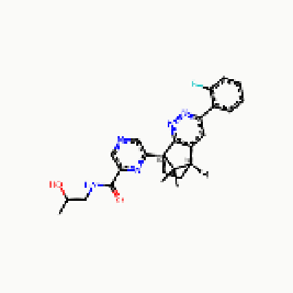 CC(O)CNC(=O)c1cncc([C@@]23CC[C@@H](c4cc(-c5ccccc5F)nnc42)C3(C)C)n1